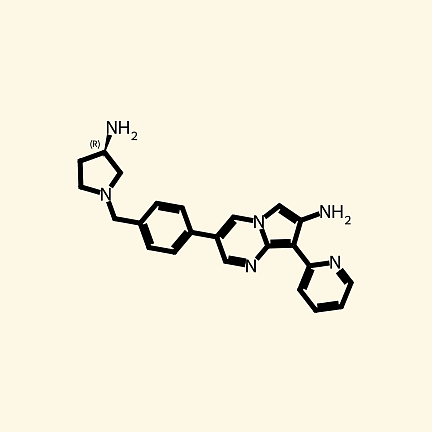 Nc1cn2cc(-c3ccc(CN4CC[C@@H](N)C4)cc3)cnc2c1-c1ccccn1